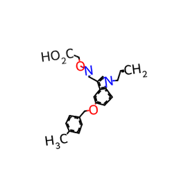 C=CCn1cc(/C=N/OCC(=O)O)c2cc(OCc3ccc(C)cc3)ccc21